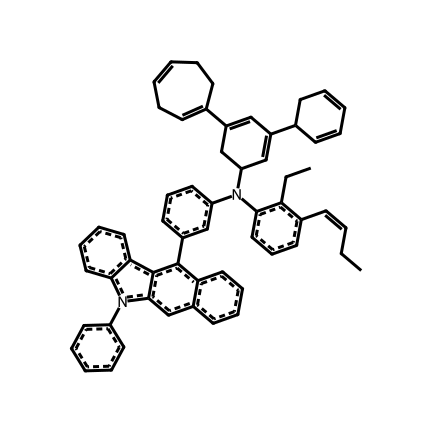 CC/C=C\c1cccc(N(c2cccc(-c3c4ccccc4cc4c3c3ccccc3n4-c3ccccc3)c2)C2C=C(C3C=CC=CC3)C=C(C3=CCC=CCC3)C2)c1CC